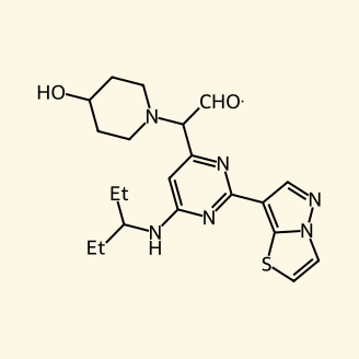 CCC(CC)Nc1cc(C([C]=O)N2CCC(O)CC2)nc(-c2cnn3ccsc23)n1